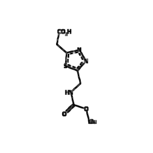 CC(C)(C)OC(=O)NCc1nnc(CC(=O)O)s1